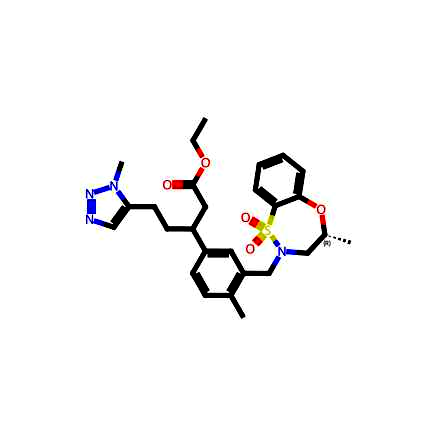 CCOC(=O)CC(CCc1cnnn1C)c1ccc(C)c(CN2C[C@@H](C)Oc3ccccc3S2(=O)=O)c1